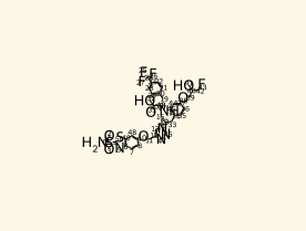 NS(=O)(=O)c1nc2ccc(OCc3cn([C@H](CN[C@@H](Cc4ccc(C(F)(F)F)cc4)C(=O)O)Cc4ccc(OCC(O)CF)cc4)nn3)cc2s1